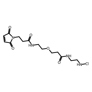 O=C(CCOCCNC(=O)CCN1C(=O)C=CC1=O)NCCNCl